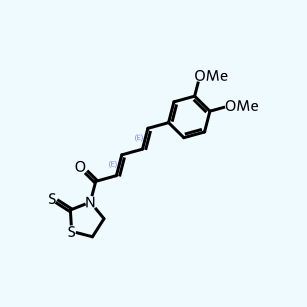 COc1ccc(/C=C/C=C/C(=O)N2CCSC2=S)cc1OC